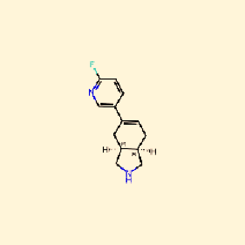 Fc1ccc(C2=CC[C@H]3CNC[C@H]3C2)cn1